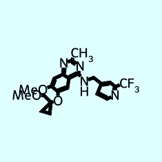 COCC1(Oc2cc3c(NCc4ccnc(C(F)(F)F)c4)nc(C)nc3cc2OC)CC1